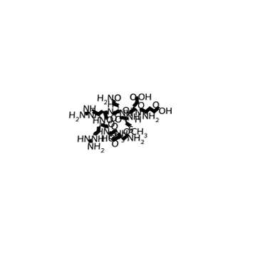 CSCC[C@H](NC(=O)[C@H](CCC(=O)O)NC(=O)[C@@H](N)CCC(=O)O)C(=O)N[C@@H](CCC(N)=O)C(=O)N[C@@H](CCCNC(=N)N)C(=O)N[C@@H](CCCNC(=N)N)C(=O)N[C@@H](C)C(=O)N[C@@H](CC(N)=O)C(=O)O